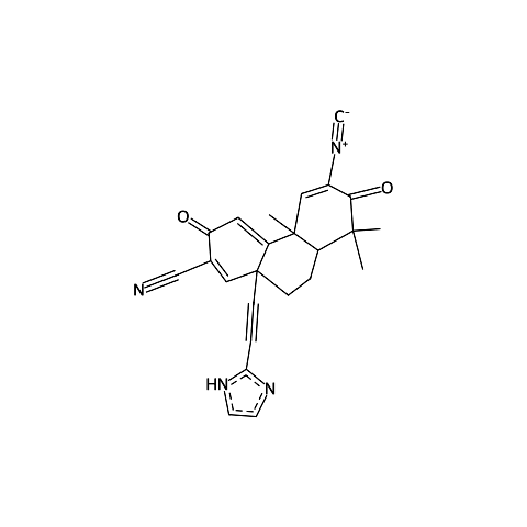 [C-]#[N+]C1=CC2(C)C3=CC(=O)C(C#N)=CC3(C#Cc3ncc[nH]3)CCC2C(C)(C)C1=O